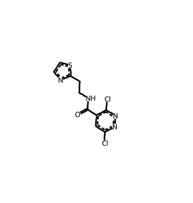 O=C(NCCc1nccs1)c1cc(Cl)nnc1Cl